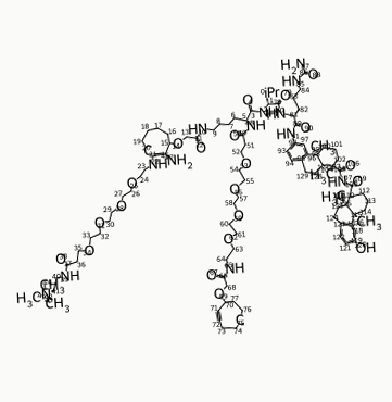 CC(C)[C@H](NC(=O)C(CCCCNC(=O)COC1CCCCC/C(NCCOCCOCCOCCOCCC(=O)NCC[N+](C)(C)C)=C\1N)NC(=O)CCOCCOCCOCCOCCNC(=O)COC1C#CCCCCC1)C(=O)N[C@@H](CCCNC(N)=O)C(=O)Nc1ccc2c(c1)[C@@]1(C)CCC[C@](C)(C(=O)NC(=O)[C@@]3(C)CCC[C@]4(C)c5cc(O)ccc5CC[C@@H]34)C1CC2